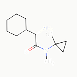 CN(C(=O)[C@@H](N)C1CCCCC1)C1(C#N)CC1